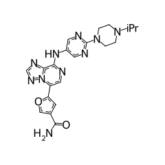 CC(C)N1CCN(c2ncc(Nc3ncc(-c4cc(C(N)=O)co4)n4ncnc34)cn2)CC1